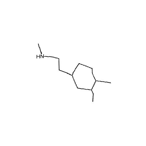 CNCCC1CCC(C)C(C)C1